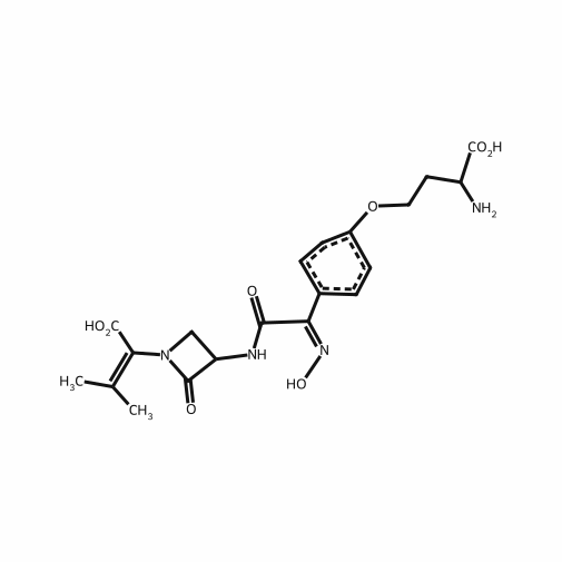 CC(C)=C(C(=O)O)N1CC(NC(=O)C(=NO)c2ccc(OCCC(N)C(=O)O)cc2)C1=O